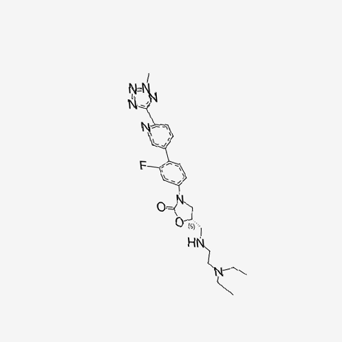 CCN(CC)CCNC[C@H]1CN(c2ccc(-c3ccc(-c4nnn(C)n4)nc3)c(F)c2)C(=O)O1